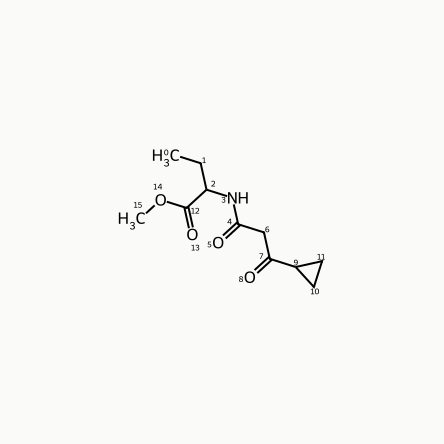 CCC(NC(=O)CC(=O)C1CC1)C(=O)OC